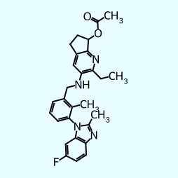 CCc1nc2c(cc1NCc1cccc(-n3c(C)nc4ccc(F)cc43)c1C)CCC2OC(C)=O